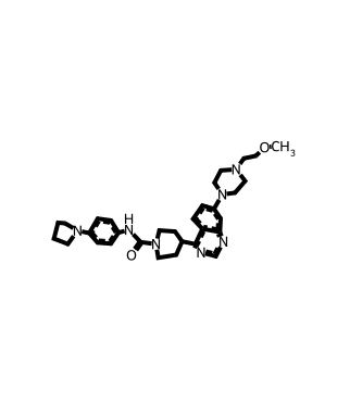 COCCN1CCN(c2ccc3c(C4CCN(C(=O)Nc5ccc(N6CCCC6)cc5)CC4)ncnc3c2)CC1